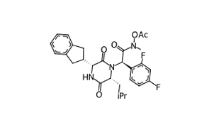 CC(=O)ON(C)C(=O)[C@@H](c1ccc(F)cc1F)N1C(=O)[C@@H](C2Cc3ccccc3C2)NC(=O)[C@H]1CC(C)C